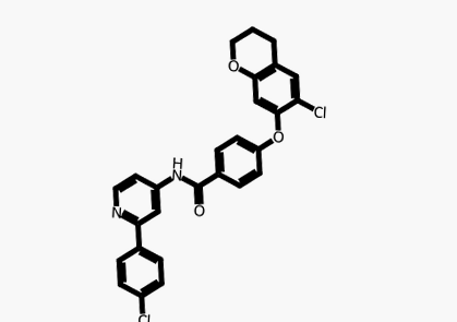 O=C(Nc1ccnc(-c2ccc(Cl)cc2)c1)c1ccc(Oc2cc3c(cc2Cl)CCCO3)cc1